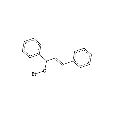 CCOC(C=Cc1ccccc1)c1ccccc1